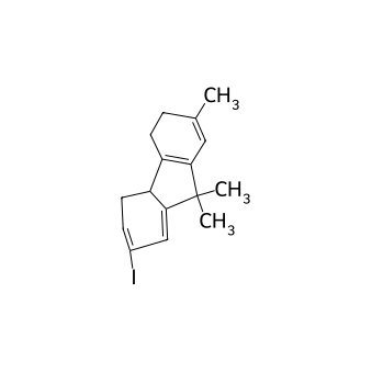 CC1=CC2=C(CC1)C1CC=C(I)C=C1C2(C)C